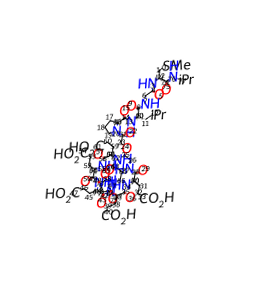 CSC[C@H](NC(=O)CNC(=O)[C@H](CC(C)C)NC(=O)[C@@H]1CCCN1C(=O)COCCNC(=O)[C@@H](CCC(=O)O)NC(=O)[C@@H](CCC(=O)O)NC(=O)[C@@H](CCC(=O)O)NC(=O)[C@@H](CCC(=O)O)NC(=O)[C@@H](CCC(=O)O)NC(=O)CCN1C(=O)C=CC1=O)C(=O)NC(C)C